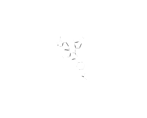 Cn1ncc2cc(-c3c(C#N)cc(C4CCC(OC(N)=O)CC4)nc3-c3ccc(C#N)c(F)c3)ccc21